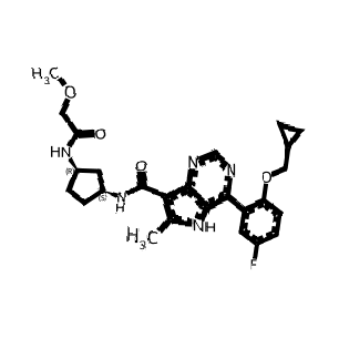 COCC(=O)N[C@@H]1CC[C@H](NC(=O)c2c(C)[nH]c3c(-c4cc(F)ccc4OCC4CC4)ncnc23)C1